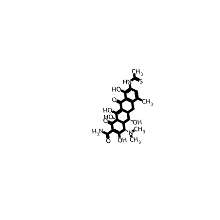 CC(=S)Nc1cc(C)c2c(c1O)C(=O)C1=C(O)[C@]3(O)C(=O)C(C(N)=O)=C(O)[C@@H](N(C)C)C3[C@@H](O)C1C2